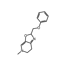 CN1C=C2OC(COc3ccccc3)N=C2CC1